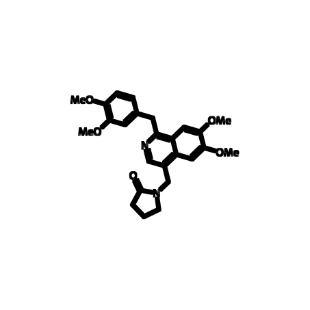 COc1ccc(Cc2ncc(CN3CCCC3=O)c3cc(OC)c(OC)cc23)cc1OC